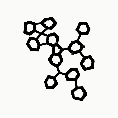 c1ccc(-c2cccc(N(c3ccccc3)c3ccc4c5c6c(ccc5n(-c5nc(-c7ccccc7)nc(-c7ccccc7)n5)c4c3)[Si]3(c4ccccc4-c4ccccc43)c3ccccc3-6)c2)cc1